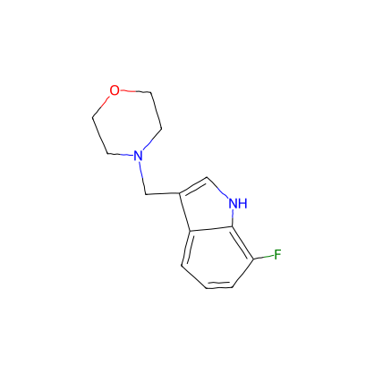 Fc1cccc2c(CN3CCOCC3)c[nH]c12